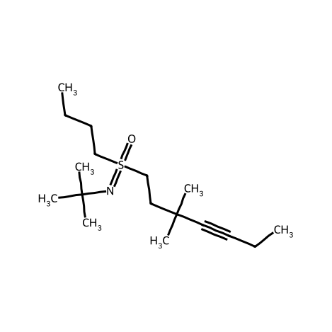 CCC#CC(C)(C)CCS(=O)(CCCC)=NC(C)(C)C